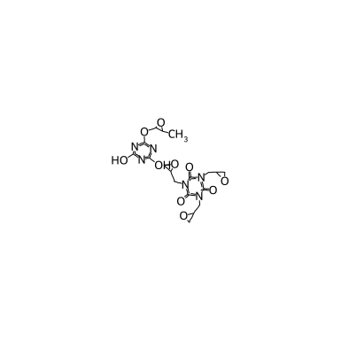 CC1OC1Oc1nc(O)nc(O)n1.O=c1n(CC2CO2)c(=O)n(CC2CO2)c(=O)n1CC1CO1